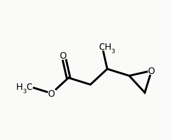 COC(=O)CC(C)C1CO1